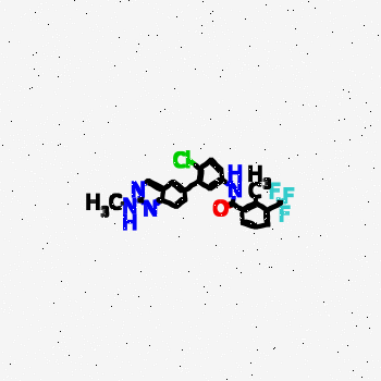 CNc1ncc2cc(-c3cc(NC(=O)c4cccc(C(F)(F)F)c4C)ccc3Cl)ccc2n1